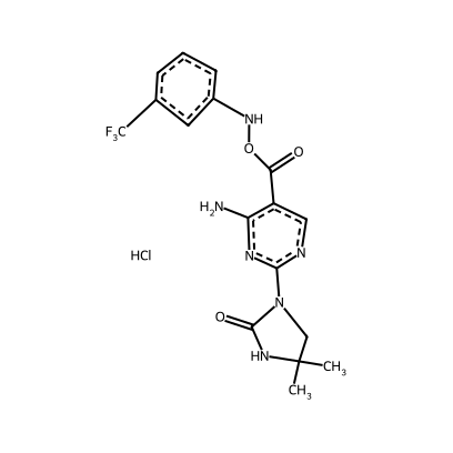 CC1(C)CN(c2ncc(C(=O)ONc3cccc(C(F)(F)F)c3)c(N)n2)C(=O)N1.Cl